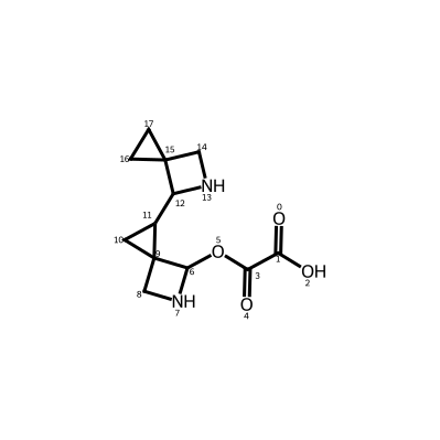 O=C(O)C(=O)OC1NCC12CC2C1NCC12CC2